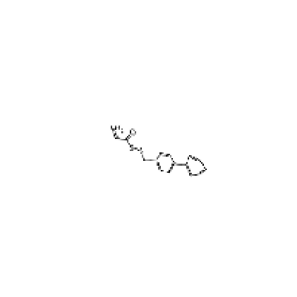 C=CC(=O)SSCc1ccc(-c2ccccc2)cc1